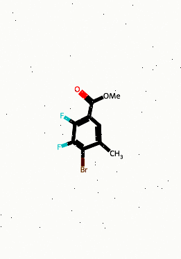 COC(=O)c1cc(C)c(Br)c(F)c1F